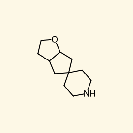 C1CC2(CCN1)CC1CCOC1C2